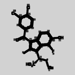 Cc1c([C@H](CC(C)(C)C)C(=O)O)c2c(F)c(O)ccc2n1C(=O)c1ccc(Cl)c(Cl)c1